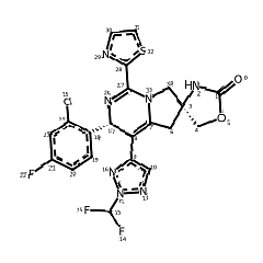 O=C1N[C@@]2(CO1)CC1=C(c3cnn(C(F)F)n3)[C@H](c3ccc(F)cc3Cl)N=C(c3nccs3)N1C2